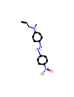 C=CCN(C)c1ccc(/N=N/c2ccc([N+](=O)[O-])cc2)cc1